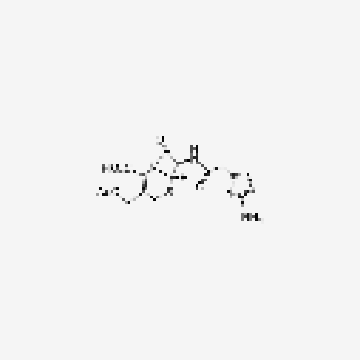 CC(=O)OCC1=C(C(=O)O)N2C(=O)[C@@H](NC(=O)Cc3csc(N)n3)[C@@H]2SC1